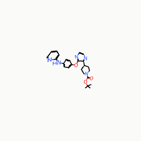 CC(C)(C)OC(=O)N1CCC(c2nccnc2Oc2ccc(Nc3ccccn3)cc2)CC1